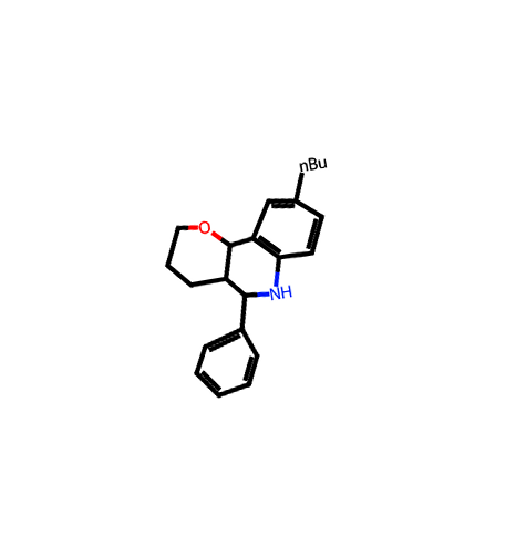 CCCCc1ccc2c(c1)C1OCCCC1C(c1ccccc1)N2